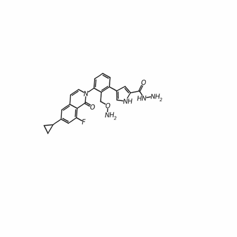 NNC(=O)c1cc(-c2cccc(-n3ccc4cc(C5CC5)cc(F)c4c3=O)c2CON)c[nH]1